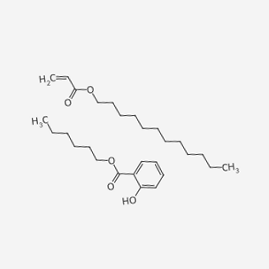 C=CC(=O)OCCCCCCCCCCCC.CCCCCCOC(=O)c1ccccc1O